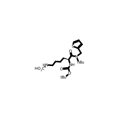 CCCCN(Cc1cccs1)C(=O)[C@H](CCCCNC(=O)O)NC(=O)OC(C)(C)C